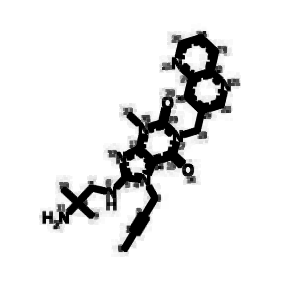 CC#CCn1c(NCC(C)(C)N)nc2c1c(=O)n(Cc1cnc3cccnc3c1)c(=O)n2C